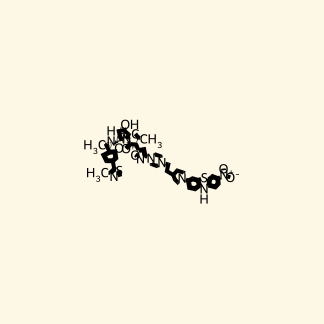 Cc1ncsc1-c1ccc([C@H](C)NC(=O)[C@@H]2C[C@@H](O)CN2C(=O)[C@@H](c2cc(N3CCN(CCC4CCN(c5ccc6c(c5)Sc5cc([N+](=O)[O-])ccc5N6)CC4)CC3)no2)C(C)C)cc1